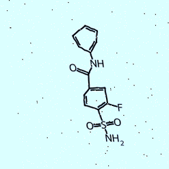 NS(=O)(=O)c1ccc(C(=O)Nc2ccccc2)cc1F